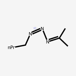 CCCC/N=N\N=C(C)C